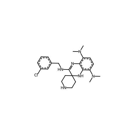 CN(C)c1ccc(N(C)C)c2c1N=C(NCc1cccc(Cl)c1)C1(CCNCC1)N2